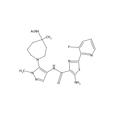 CC(=O)NC1(C)CCCN(c2c(NC(=O)c3nc(-c4ncccc4F)sc3N)cnn2C)CC1